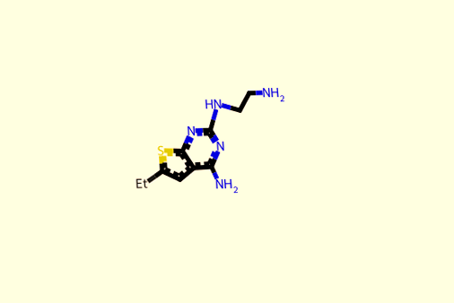 CCc1cc2c(N)nc(NCCN)nc2s1